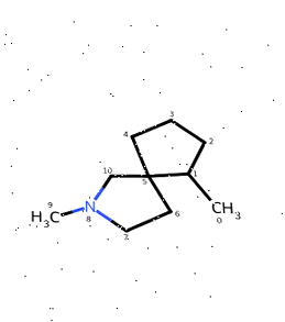 CC1CCCC12CCN(C)C2